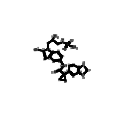 BC(CNS(C)(=O)=O)Cn1c(C(C)(C)C)cc2cc(NC(=O)C3(c4ccc5c(c4)OCO5)CC3)ccc21